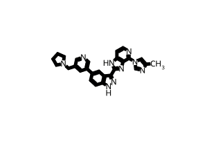 Cc1cn(-c2nccc3[nH]c(-c4n[nH]c5ccc(-c6cncc(CN7CCCC7)c6)cc45)nc23)cn1